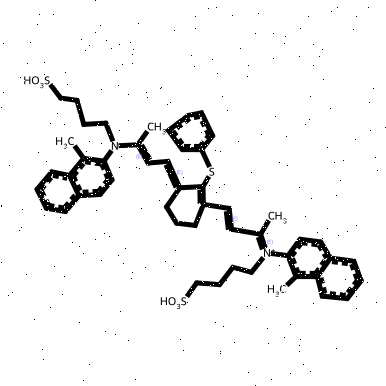 C/C(=C\C=C1/CCCC(/C=C/C(C)=[N+](\CCCCS(=O)(=O)O)c2ccc3ccccc3c2C)=C1Sc1ccccc1)N(CCCCS(=O)(=O)O)c1ccc2ccccc2c1C